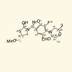 COC[C@H]1CN(c2noc3c(F)c(N4C[C@@H](C)O[C@H](C)C4)c(C=O)cc23)C(O)S1